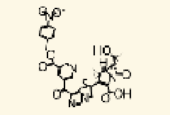 C[C@@H](O)[C@H]1C(=O)N2C(C(=O)O)=C(c3cn4cnc(C(=O)c5cncc(C(=O)OCc6ccc([N+](=O)[O-])cc6)c5)c4s3)[C@H](C)[C@H]12